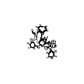 CN(C)c1ccccc1-c1cc(Oc2ccccc2)nc(NS(=O)(=O)c2ccccc2)n1